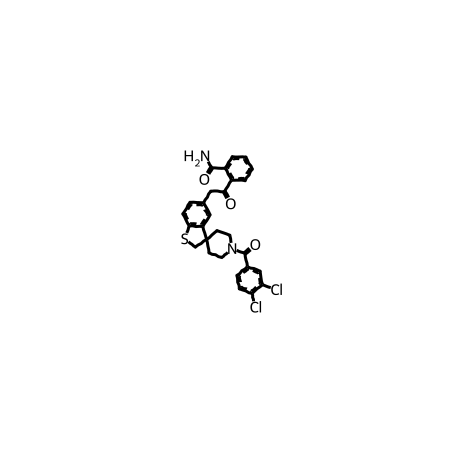 NC(=O)c1ccccc1C(=O)Cc1ccc2c(c1)C1(CCN(C(=O)c3ccc(Cl)c(Cl)c3)CC1)CS2